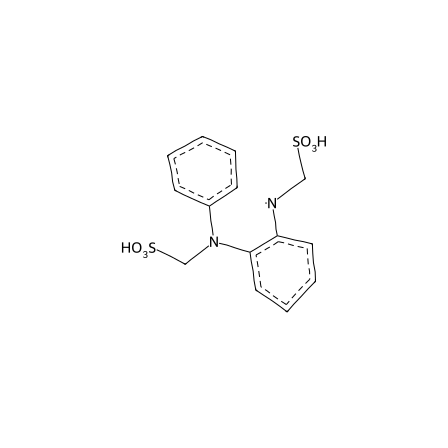 O=S(=O)(O)C[N]c1ccccc1N(CS(=O)(=O)O)c1ccccc1